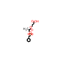 CC(=COS(=O)(=O)C=Cc1ccccc1)C(=O)OCCCC(=O)O